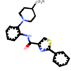 O=C(Nc1ccccc1N1CCC(C(=O)O)CC1)c1csc(-c2ccccc2)n1